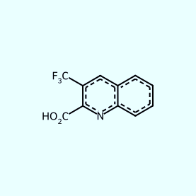 O=C(O)c1nc2ccccc2cc1C(F)(F)F